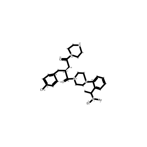 CCN(C(C)=O)C(C)c1ccccc1N1CCN(C(=O)[C@H](CC(=O)N2CCOCC2)Cc2ccc(Cl)cc2)CC1